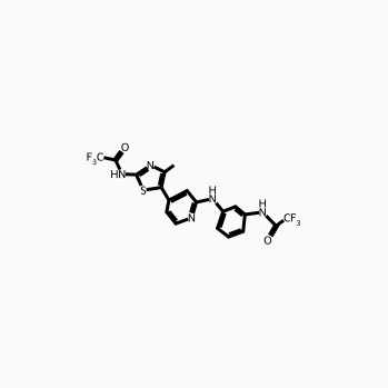 Cc1nc(NC(=O)C(F)(F)F)sc1-c1ccnc(Nc2cccc(NC(=O)C(F)(F)F)c2)c1